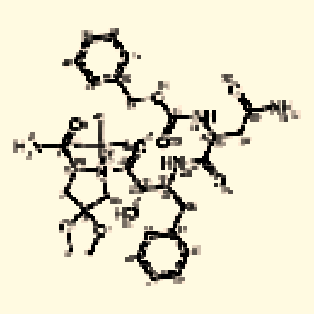 COC1(OC)C[C@@H](C(N)=O)[N+](C(=O)[C@@H](O)[C@H](Cc2ccccc2)NC(=O)[C@H](CC(N)=O)NC(=O)OCc2ccccc2)(C(C)(C)C)C1